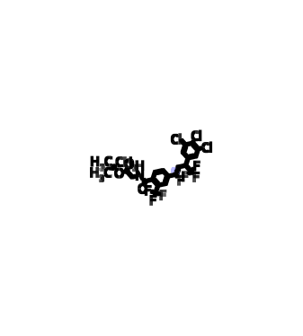 CC(C)(C)OC(=O)CNC(=O)c1ccc(/C(F)=C/C(c2cc(Cl)c(Cl)c(Cl)c2)C(F)(F)F)cc1C(F)(F)F